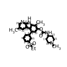 CCS(=O)(=O)c1cccc(-c2cc(OC(=O)NC3CCN(C)CC3)c(C)c3[nH]c4ncc(C)cc4c23)c1